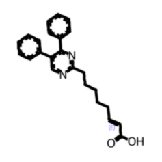 O=C(O)/C=C/CCCCCc1ncc(-c2ccccc2)c(-c2ccccc2)n1